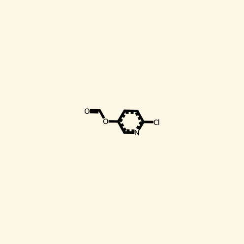 O=COc1ccc(Cl)nc1